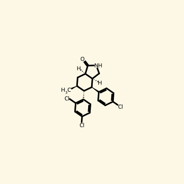 C[C@H]1C[C@H]2C(=O)NC[C@H]2[C@@H](c2ccc(Cl)cc2)[C@@H]1c1ccc(Cl)cc1Cl